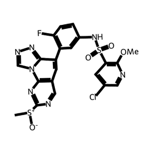 COc1ncc(Cl)cc1S(=O)(=O)Nc1ccc(F)c(-c2cc3cnc([S+](C)[O-])nc3n3cnnc23)c1